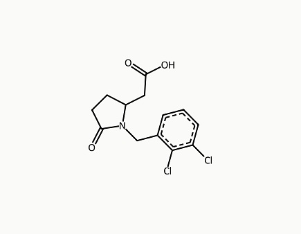 O=C(O)CC1CCC(=O)N1Cc1cccc(Cl)c1Cl